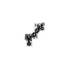 O=C(Nc1ccc(N2CCN(C(=O)C3CCCC3C(=O)O)CC2)cc1)c1nc(-c2ccccc2)oc1C(F)(F)F